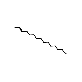 [CH2]/C=C/CCCCCCCCCCCC(C)C